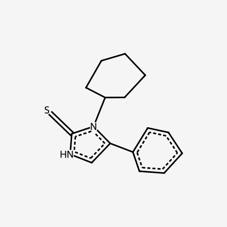 S=c1[nH]cc(-c2ccccc2)n1C1CCCCC1